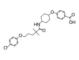 CC(C)(CCCOc1ccc(Cl)cc1)C(=O)NC1CCC(Oc2ccc(C(=O)O)cc2)CC1